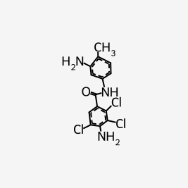 Cc1ccc(NC(=O)c2cc(Cl)c(N)c(Cl)c2Cl)cc1N